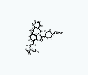 COC1CCC(C(=O)N2Cc3cccnc3Nc3ccc(CNC4(C(F)(F)F)CC4)cc32)CC1